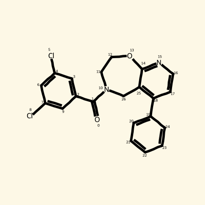 O=C(c1cc(Cl)cc(Cl)c1)N1CCOc2nccc(-c3ccccc3)c2C1